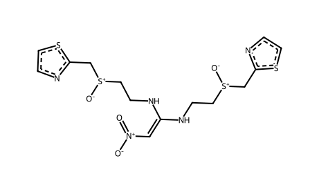 O=[N+]([O-])C=C(NCC[S+]([O-])Cc1nccs1)NCC[S+]([O-])Cc1nccs1